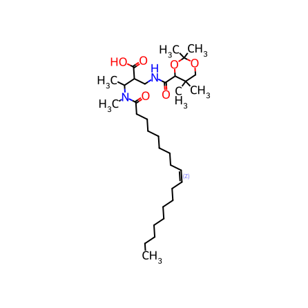 CCCCCCCC/C=C\CCCCCCCC(=O)N(C)C(C)C(CNC(=O)C1OC(C)(C)OCC1(C)C)C(=O)O